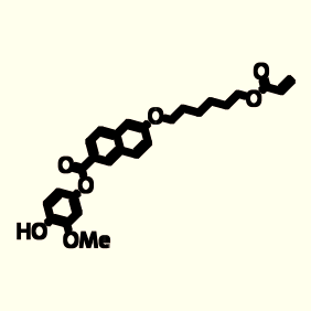 C=CC(=O)OCCCCCCOc1ccc2cc(C(=O)Oc3ccc(O)c(OC)c3)ccc2c1